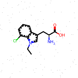 CCn1cc(C[C@H](N)C(=O)O)c2cccc(Cl)c21